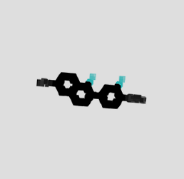 CCCc1ccc2c(F)c(-c3ccc(OC)c(F)c3)ccc2c1